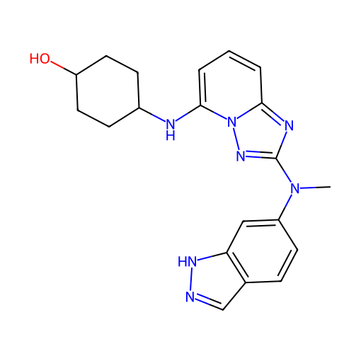 CN(c1ccc2cn[nH]c2c1)c1nc2cccc(NC3CCC(O)CC3)n2n1